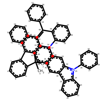 CC1(C)c2ccccc2-c2cccc(N(c3ccc4c5ccccc5n(-c5ccccc5)c4c3)c3ccccc3C(=C(c3ccccc3)c3ccccc3)c3ccccc3)c21